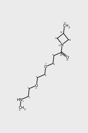 CNCCOCCOCCC(=O)N1CC(C)C1